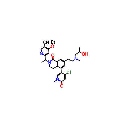 CCOc1cc(C(C)N2CCc3c(cc(CCN(C)CC(C)O)cc3-c3cn(C)c(=O)cc3Cl)C2=O)ncc1C#N